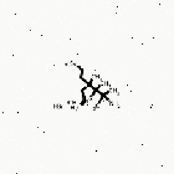 Br.Br.C=CCC(C)(CCCCCCCCCCCC)C(C)(C)C(C)(C)N